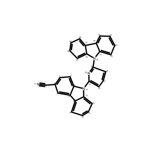 N#Cc1ccc2c(c1)c1ccccc1n2-c1cccc(-n2c3ccccc3c3ccccc32)n1